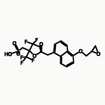 O=C(Cc1cccc2c(OCC3CO3)cccc12)OC(CS(=O)(=O)O)(C(F)(F)F)C(F)(F)F